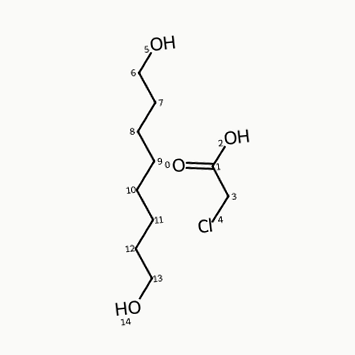 O=C(O)CCl.OCCCCCCCCO